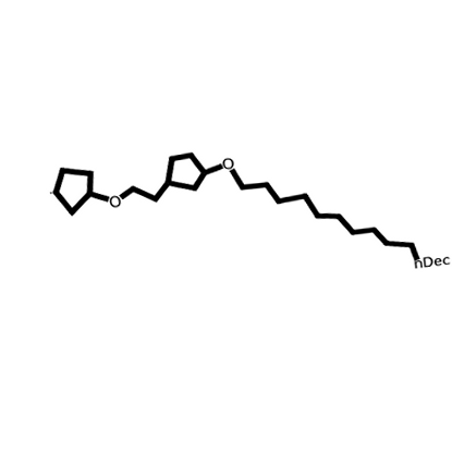 [CH2]CCCCCCCCCCCCCCCCCCCOC1CCC(CCOC2C[CH]CC2)C1